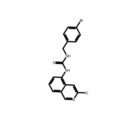 O=C(NCc1ccc(Br)cc1)Nc1cccc2cnc(Cl)cc12